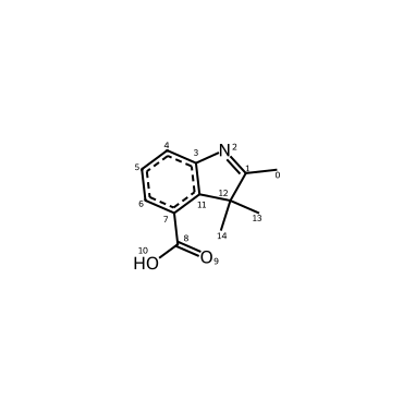 CC1=Nc2cccc(C(=O)O)c2C1(C)C